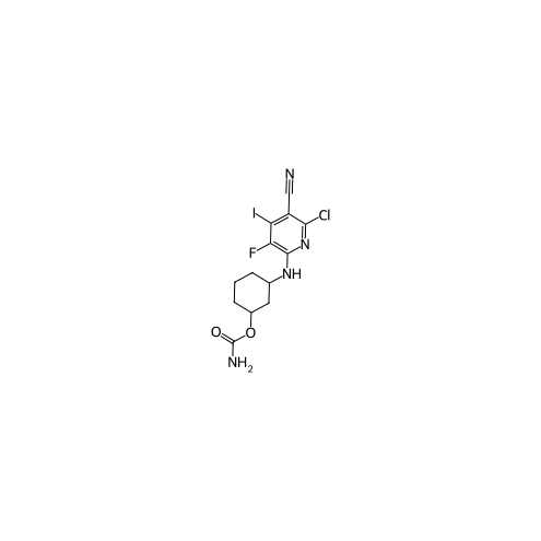 N#Cc1c(Cl)nc(NC2CCCC(OC(N)=O)C2)c(F)c1I